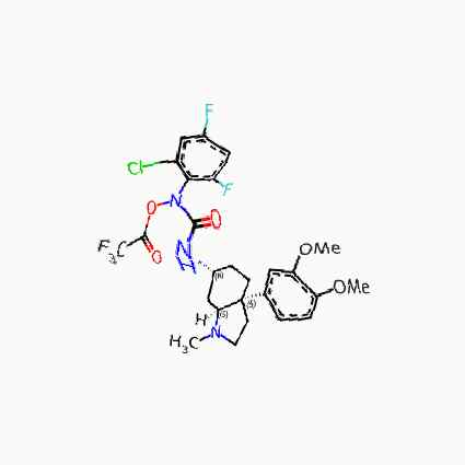 COc1ccc([C@@]23CC[C@@H](NC(=O)N(OC(=O)C(F)(F)F)c4c(F)cc(F)cc4Cl)C[C@@H]2N(C)CC3)cc1OC